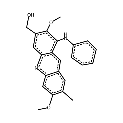 COc1cc2nc3cc(CO)c(OC)c(Nc4ccccc4)c3cc2cc1C